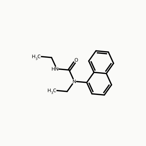 CCNC(=O)N(CC)c1cccc2ccccc12